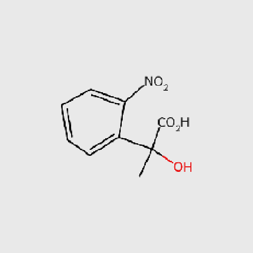 CC(O)(C(=O)O)c1ccccc1[N+](=O)[O-]